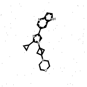 c1cc2ncc(-c3cn(C45CC(N6CCOCC6)(C4)C5)c(C4CC4)n3)cc2[nH]1